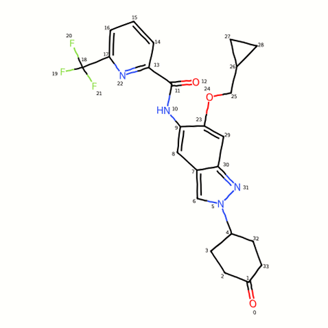 O=C1CCC(n2cc3cc(NC(=O)c4cccc(C(F)(F)F)n4)c(OCC4CC4)cc3n2)CC1